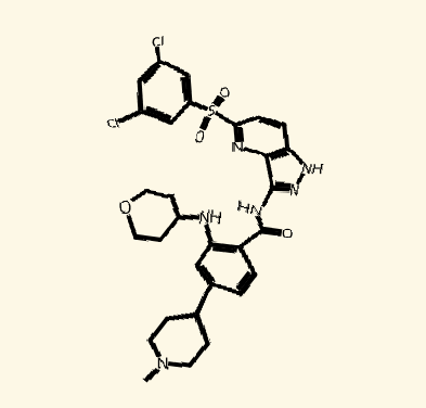 CN1CCC(c2ccc(C(=O)Nc3n[nH]c4ccc(S(=O)(=O)c5cc(Cl)cc(Cl)c5)nc34)c(NC3CCOCC3)c2)CC1